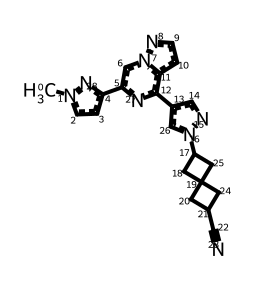 Cn1ccc(-c2cn3nccc3c(-c3cnn(C4CC5(CC(C#N)C5)C4)c3)n2)n1